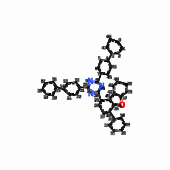 c1ccc(-c2ccc(-c3nc(-c4ccc(-c5ccccc5)cc4)nc(-c4ccc(-c5ccccc5)c5oc6ccccc6c45)n3)cc2)cc1